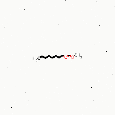 CCCCCCCCOCOC